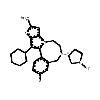 CC(C)N1CC[C@@H](N2CCn3c(c(C4CCCCC4)c4sc(C(=O)O)cc43)-c3ccc(F)cc3C2)C1